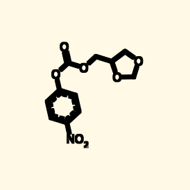 O=C(OCC1COCO1)Oc1ccc([N+](=O)[O-])cc1